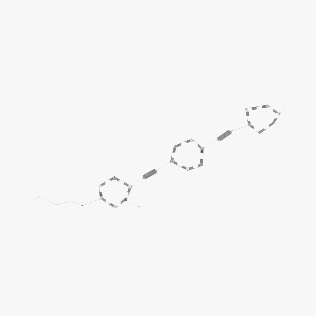 CCCCCc1ccc(C#Cc2ccc(C#Cc3ccc(C)cc3)cc2)c(F)c1